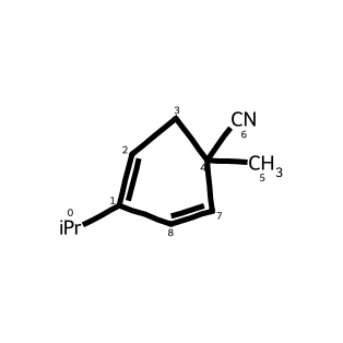 CC(C)C1=CCC(C)(C#N)C=C1